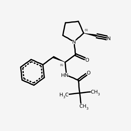 CC(C)(C)C(=O)N[C@@H](Cc1ccccc1)C(=O)N1CCC[C@H]1C#N